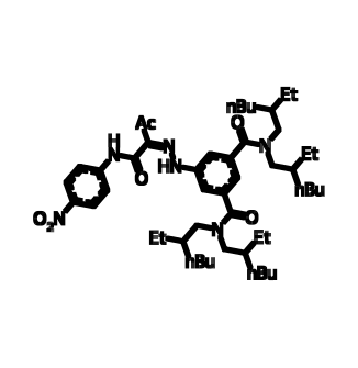 CCCCC(CC)CN(CC(CC)CCCC)C(=O)c1cc(N/N=C(/C(C)=O)C(=O)Nc2ccc([N+](=O)[O-])cc2)cc(C(=O)N(CC(CC)CCCC)CC(CC)CCCC)c1